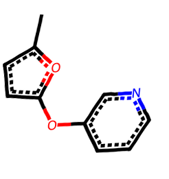 Cc1ccc(Oc2cccnc2)o1